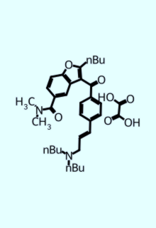 CCCCc1oc2ccc(C(=O)N(C)C)cc2c1C(=O)c1ccc(C=CCN(CCCC)CCCC)cc1.O=C(O)C(=O)O